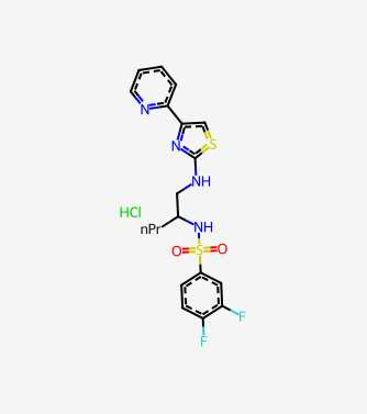 CCCC(CNc1nc(-c2ccccn2)cs1)NS(=O)(=O)c1ccc(F)c(F)c1.Cl